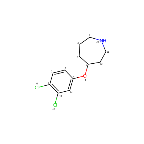 Clc1ccc(OC2CCCNCC2)cc1Cl